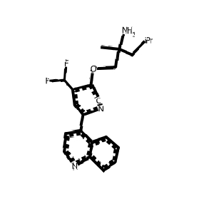 CC(C)CC(C)(N)COc1cnc(-c2ccnc3ccccc23)cc1C(F)F